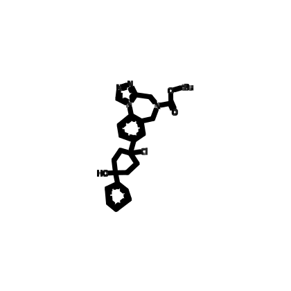 CC(C)(C)OC(=O)N1Cc2cc(C3(Cl)CCC(O)(c4ccccc4)CC3)ccc2-n2cnnc2C1